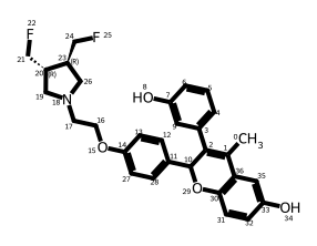 CC1=C(c2cccc(O)c2)C(c2ccc(OCCN3C[C@H](CF)[C@@H](CF)C3)cc2)Oc2ccc(O)cc21